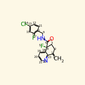 C=C1CC[C@@](F)(C(=O)NCc2ccc(Cl)cc2F)c2cccnc21